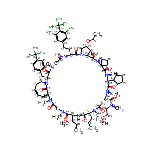 CCC[C@H]1C(=O)N[C@@H]([C@@H](C)CC)C(=O)N(C)CC(=O)N(C)[C@H]2C/C=C\CCN(C2=O)[C@@H](Cc2ccc(C(F)(F)F)cc2)C(=O)N(C)CC(=O)N[C@@H](CCc2cc(F)c(C(F)(F)F)c(F)c2)C(=O)N2C[C@H](OCC)C[C@H]2C(=O)NC2(CCC2)C(=O)N(C)[C@@H](C2CCCC2)C(=O)N(C)[C@H](C(=O)N(C)CCOC)CC(=O)N1C